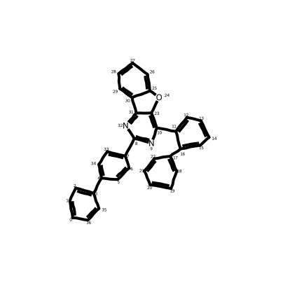 c1ccc(-c2ccc(-c3nc(-c4ccccc4-c4ccccc4)c4oc5ccccc5c4n3)cc2)cc1